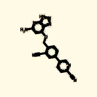 N#Cc1ccc(-c2ccc(COc3cc(N)nc4[nH]nnc34)c(C#N)c2)cn1